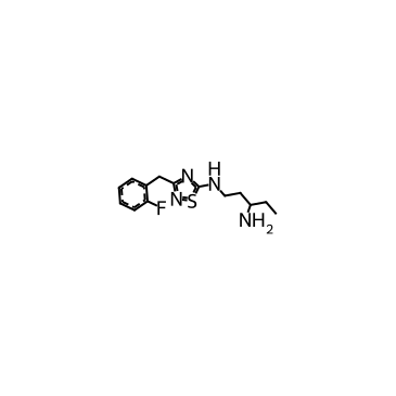 CCC(N)CCNc1nc(Cc2ccccc2F)ns1